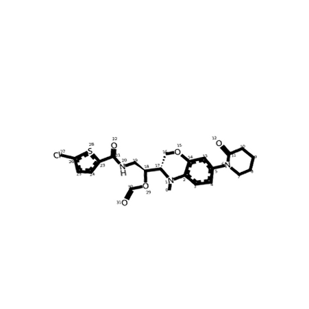 CN1c2ccc(N3CCCCC3=O)cc2OC[C@H]1[C@H](CNC(=O)c1ccc(Cl)s1)OC=O